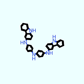 c1ccc2c(c1)[nH]c1ccc(Nc3ccc(Nc4ccc(Nc5ccc6[nH]c7ccccc7c6c5)cc4)cc3)cc12